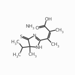 C/C(C(=O)O)=C(\C)C1=NC(=S)C(C)(C(C)C)N1.N